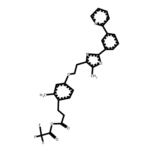 Cc1cc(OCCc2nc(-c3cccc(-c4ccccn4)c3)oc2C)ccc1CCC(=O)OC(=O)C(F)(F)F